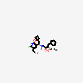 CC(=O)N[C@@H](Cc1ccccc1)[C@@H](O)CN[C@H]1CC2(CCC2)Oc2nc(F)c(CC(C)C)cc21